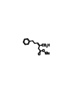 CC(C)(C)OC(=O)CC(=CCCc1ccccc1)C(=O)O